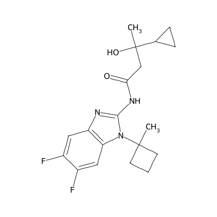 CC(O)(CC(=O)Nc1nc2cc(F)c(F)cc2n1C1(C)CCC1)C1CC1